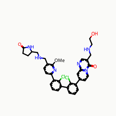 COc1nc(-c2cccc(-c3cccc(-c4ccn5c(=O)c(CNCCO)cnc5c4)c3Cl)c2Cl)ccc1CNCC1CCC(=O)N1